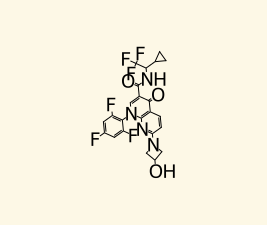 O=C(NC(C1CC1)C(F)(F)F)c1cn(-c2c(F)cc(F)cc2F)c2nc(N3CC(O)C3)ccc2c1=O